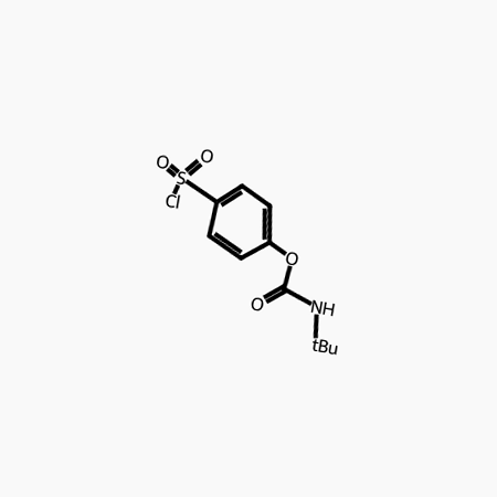 CC(C)(C)NC(=O)Oc1ccc(S(=O)(=O)Cl)cc1